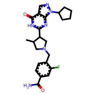 CC1CN(Cc2ccc(C(N)=O)cc2F)CC1c1nc2c(cnn2C2CCCC2)c(=O)[nH]1